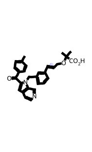 Cc1ccc(C(=O)c2cc3ccncc3n2Cc2cccc(/C=C/COC(C)(C)C(=O)O)c2)cc1